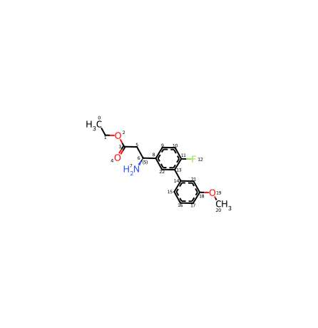 CCOC(=O)C[C@H](N)c1ccc(F)c(-c2cccc(OC)c2)c1